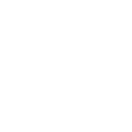 CN1CCN(c2ccc(Nc3ncc4c(=O)n(-c5ccccc5)nc(-c5cnn(C)c5)c4n3)cc2)CC1